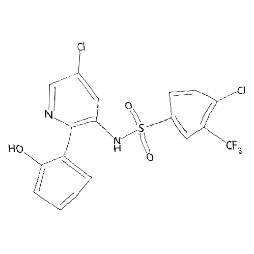 O=S(=O)(Nc1cc(Cl)cnc1-c1ccccc1O)c1ccc(Cl)c(C(F)(F)F)c1